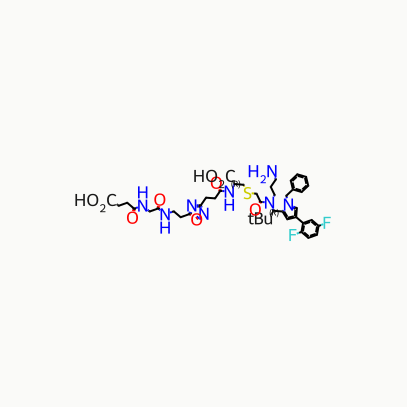 CC(C)(C)[C@H](c1cc(-c2cc(F)ccc2F)cn1Cc1ccccc1)N(CCCN)C(=O)CSC[C@H](NC(=O)CCc1noc(CCNC(=O)CNC(=O)CCC(=O)O)n1)C(=O)O